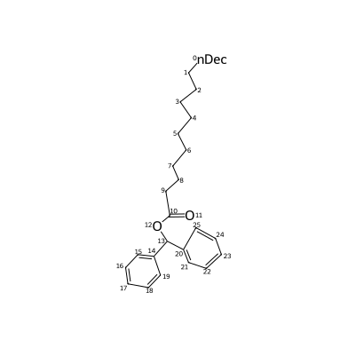 CCCCCCCCCCCCCCCCCCCC(=O)OC(c1ccccc1)c1ccccc1